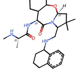 CN[C@@H](C)C(=O)N[C@@H]1C(=O)N2C(CNC3CCCc4ccccc43)C(C)(C)C[C@@H]2OC2CCCCC21